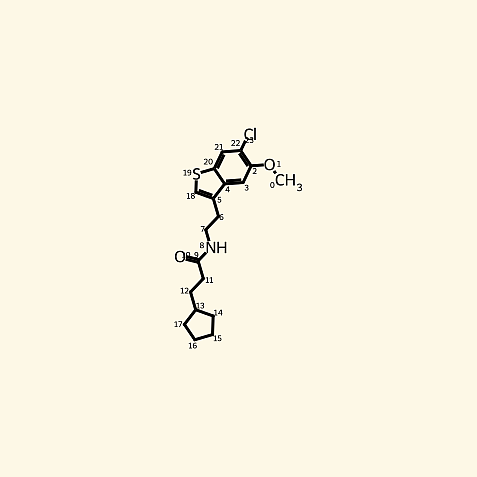 COc1cc2c(CCNC(=O)CCC3CCCC3)csc2cc1Cl